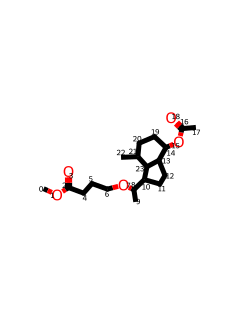 COC(=O)CCCOC(C)C1CCC2C(OC(C)=O)CCC(C)C12